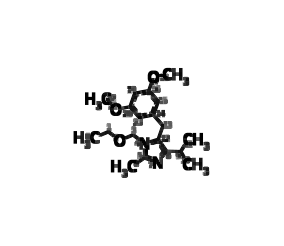 CCOCn1c(C)nc(C(C)C)c1Cc1cc(OC)cc(OC)c1